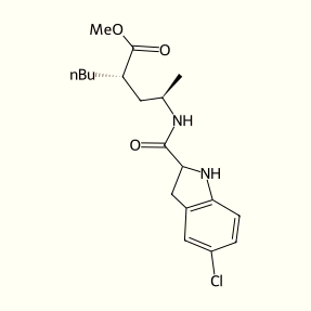 CCCC[C@@H](C[C@@H](C)NC(=O)C1Cc2cc(Cl)ccc2N1)C(=O)OC